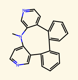 Cn1c2ccncc2c2ccccc2c2ccccc2c2ccncc21